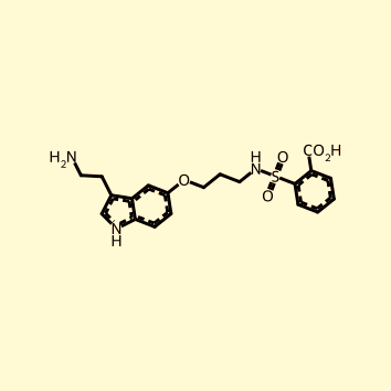 NCCc1c[nH]c2ccc(OCCCNS(=O)(=O)c3ccccc3C(=O)O)cc12